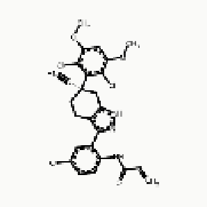 C#C[C@@]1(c2c(Cl)c(OC)cc(OC)c2Cl)CCc2c(-c3cc(Cl)ccc3NC(=O)C=C)n[nH]c2C1